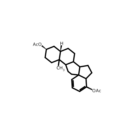 CC(=O)OC1=CC=CC23CCC4C(CC[C@H]5C[C@H](OC(C)=O)CCC45C)C2CCC13